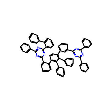 c1ccc(-c2nc(-c3ccccc3)nc(-c3cccc(-c4ccc(-c5ccccc5-c5nc(-c6ccccc6)nc(-c6ccccc6-c6ccccc6)n5)c(-c5ccccc5)c4-c4ccccc4)c3)n2)cc1